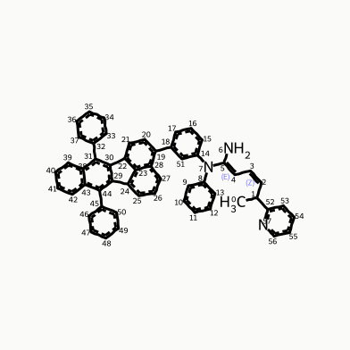 CC(/C=C\C=C(/N)N(c1ccccc1)c1cccc(-c2ccc3c4c(cccc24)-c2c-3c(-c3ccccc3)c3ccccc3c2-c2ccccc2)c1)c1ccccn1